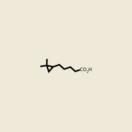 CC1(C)CC1CCCCC(=O)O